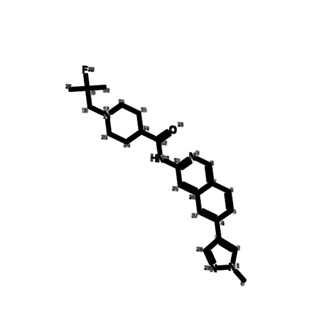 Cn1cc(-c2ccc3cnc(NC(=O)C4CCN(CC(C)(C)F)CC4)cc3c2)cn1